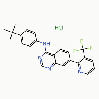 CC(C)(C)c1ccc(Nc2ncnc3cc(-c4ncccc4C(F)(F)F)ccc23)cc1.Cl